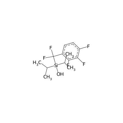 CC(C)[Si](O)(C(C)C)C(F)(F)c1ccc(F)c(F)c1F